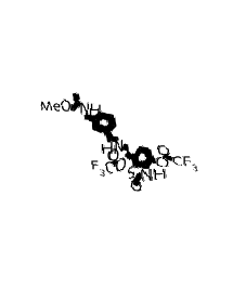 COCC(C)NCc1cccc(CCNC[C@H](OC(=O)C(F)(F)F)c2ccc(OC(=O)C(F)(F)F)c3[nH]c(=O)sc23)c1